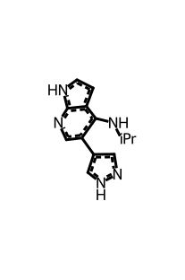 CC(C)Nc1c(-c2cn[nH]c2)cnc2[nH]ccc12